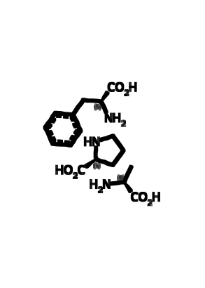 C[C@H](N)C(=O)O.N[C@@H](Cc1ccccc1)C(=O)O.O=C(O)[C@@H]1CCCN1